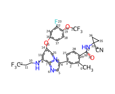 Cc1cc(-c2cnc3c(NCCC(F)(F)F)cc(Oc4ccc(OC(F)(F)F)c(F)c4)cn23)ccc1C(=O)NC1(C#N)CC1